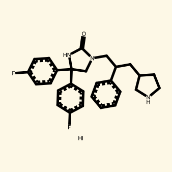 I.O=C1NC(c2ccc(F)cc2)(c2ccc(F)cc2)CN1CC(CC1CCNC1)c1ccccc1